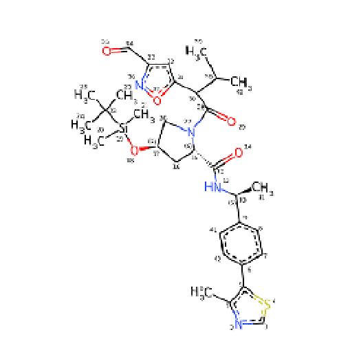 Cc1ncsc1-c1ccc([C@H](C)NC(=O)[C@@H]2C[C@@H](O[Si](C)(C)C(C)(C)C)CN2C(=O)C(c2cc(C=O)no2)C(C)C)cc1